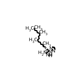 C/C(=C\CSCC(Nc1ncccn1)C(=N)N)CCCC(C)CCCC(C)CCCC(C)C